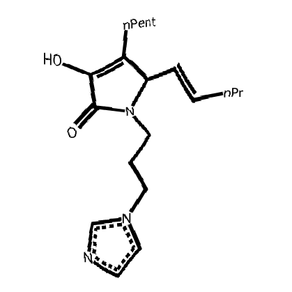 CCCC=CC1C(CCCCC)=C(O)C(=O)N1CCCn1ccnc1